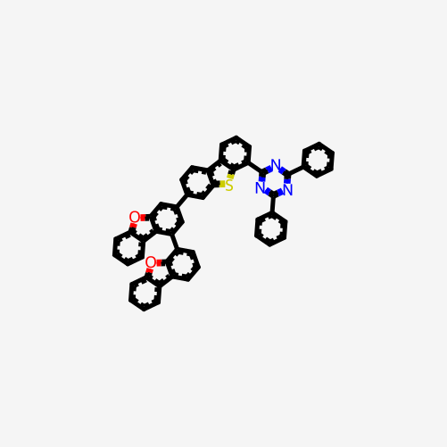 c1ccc(-c2nc(-c3ccccc3)nc(-c3cccc4c3sc3cc(-c5cc(-c6cccc7c6oc6ccccc67)c6c(c5)oc5ccccc56)ccc34)n2)cc1